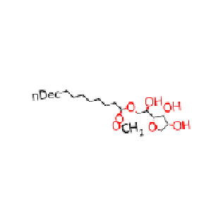 C=O.CCCCCCCCCCCCCCCCCC(=O)OC[C@@H](O)[C@H]1OC[C@H](O)[C@H]1O